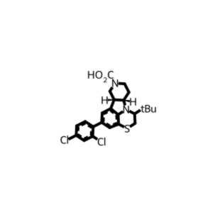 CC(C)(C)C1CSc2cc(-c3ccc(Cl)cc3Cl)cc3c2N1[C@H]1CCN(C(=O)O)C[C@@H]31